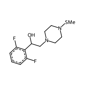 CSN1CCN(CC(O)c2c(F)cccc2F)CC1